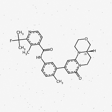 Cc1ccc(NC(=O)c2ccnc(C(C)(C)F)c2C)cc1-c1cc2n(c(=O)c1)CC[C@H]1COCCN21